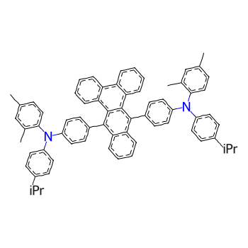 Cc1ccc(N(c2ccc(-c3c4ccccc4c(-c4ccc(N(c5ccc(C(C)C)cc5)c5ccc(C)cc5C)cc4)c4c5ccccc5c5ccccc5c34)cc2)c2ccc(C(C)C)cc2)c(C)c1